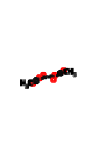 COc1ccc(COC(=O)CCCCC(=O)COc2ccc(OC)cc2)cc1